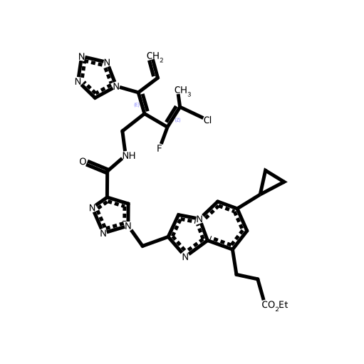 C=C/C(=C(CNC(=O)c1cn(Cc2cn3cc(C4CC4)cc(CCC(=O)OCC)c3n2)nn1)\C(F)=C(/C)Cl)n1cnnn1